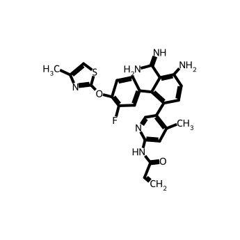 C=CC(=O)Nc1cc(C)c(-c2ccc(N)c(C(=N)N)c2-c2ccc(Oc3nc(C)cs3)c(F)c2)cn1